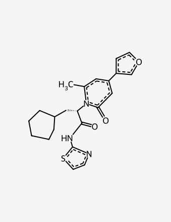 Cc1cc(-c2ccoc2)cc(=O)n1[C@@H](CC1CCCCC1)C(=O)Nc1nccs1